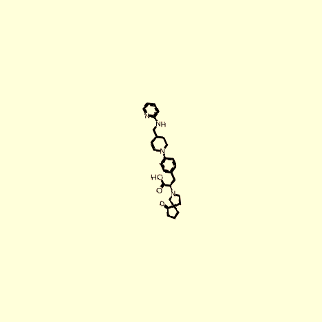 O=C(O)C(Cc1ccc(N2CCC(CNc3ccccn3)CC2)cc1)N1CCC2(CCCC2=O)C1